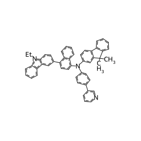 CCn1c2ccccc2c2cc(-c3ccc(N(c4ccc(-c5cccnc5)cc4)c4ccc5c(c4)C(C)(C)c4ccccc4-5)c4ccccc34)ccc21